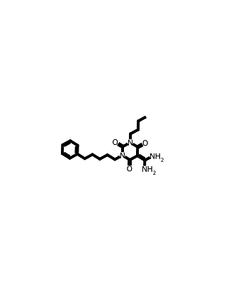 CCCCN1C(=O)C(=C(N)N)C(=O)N(CCCCCc2ccccc2)C1=O